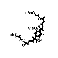 CCCCOCCOC(=O)CCCC(C)(C)c1cc(OCC)c(C(C)(C)CCCC(=O)OCCOCCCC)cc1OC